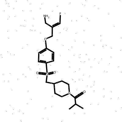 CC(C)C(=O)N1CCC(CS(=O)(=O)c2ccc(OC/C(=C/F)CN)cc2)CC1